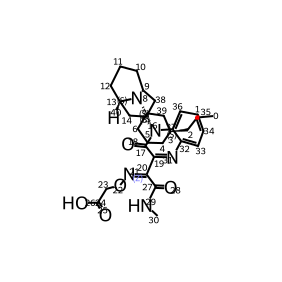 CCC[C@H]1CCC[C@H](N2C3CCC[C@H]2C[C@@H](n2c(=O)c(/C(=N/OCC(=O)O)C(=O)NC)nc4ccccc42)C3)C1